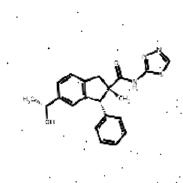 C[C@@H](O)c1ccc2c(c1)[C@@H](c1ccccc1)[C@@](C)(C(=O)Nc1nncs1)C2